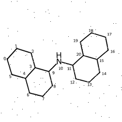 C1CCC2C(C1)CCCC2NC1CCCC2CCCCC21